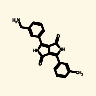 Cc1cccc(C2=C3C(=O)NC(c4cccc(CN)c4)=C3C(=O)N2)c1